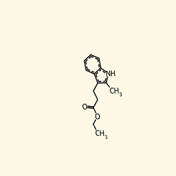 CCOC(=O)CCc1c(C)[nH]c2ccccc12